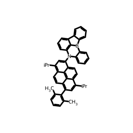 Cc1cccc(C)c1-c1cc(C(C)C)c2ccc3c(N4c5ccccc5B5c6ccccc6-c6cccc4c65)cc(C(C)C)c4ccc1c2c43